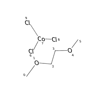 COCCOC.[Cl][Co]([Cl])[Cl]